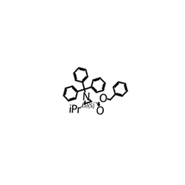 CC(C)[C@H]1[C@@H](C(=O)OCc2ccccc2)N1C(c1ccccc1)(c1ccccc1)c1ccccc1